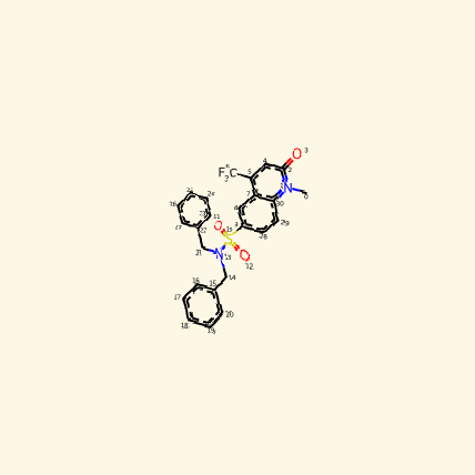 Cn1c(=O)cc(C(F)(F)F)c2cc(S(=O)(=O)N(Cc3ccccc3)Cc3ccccc3)ccc21